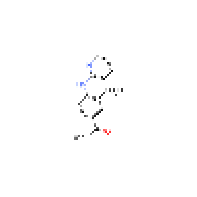 COC(=O)c1ccc(Nc2ccccn2)c(C(=O)O)c1